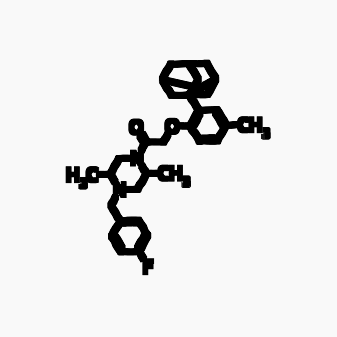 Cc1ccc(OCC(=O)N2CC(C)N(Cc3ccc(F)cc3)CC2C)c(C23CC4CC(CC(C4)C2)C3)c1